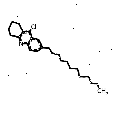 CCCCCCCCCCCCc1ccc2nc3c(c(Cl)c2c1)CCCC3